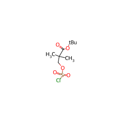 CC(C)(C)OC(=O)C(C)(C)COS(=O)(=O)Cl